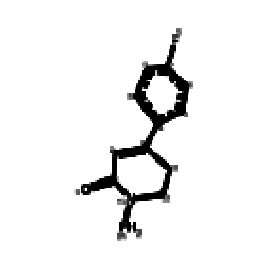 O=C1C=C(c2ccc(F)cc2)CCN1P